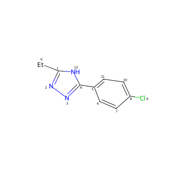 CCc1nnc(-c2ccc(Cl)cc2)[nH]1